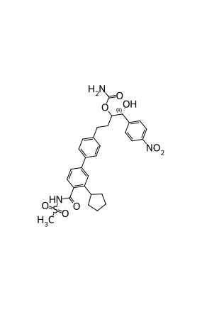 CS(=O)(=O)NC(=O)c1ccc(-c2ccc(CCC(OC(N)=O)[C@H](O)c3ccc([N+](=O)[O-])cc3)cc2)cc1C1CCCC1